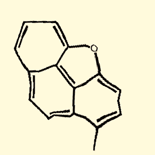 Cc1ccc2oc3cccc4ccc1c2c43